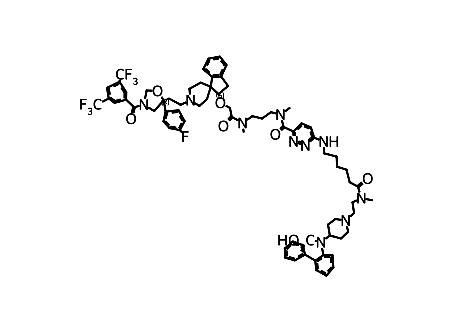 CN(CCN1CCC(N(C(=O)O)c2ccccc2-c2ccccc2)CC1)C(=O)CCCCCNc1ccc(C(=O)N(C)CCCN(C)C(=O)CO[C@H]2Cc3ccccc3C23CCN(CC[C@@]2(c4ccc(F)cc4)CN(C(=O)c4cc(C(F)(F)F)cc(C(F)(F)F)c4)CO2)CC3)nn1